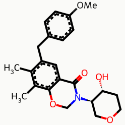 COc1ccc(Cc2cc3c(c(C)c2C)OCN([C@@H]2COCC[C@H]2O)C3=O)cc1